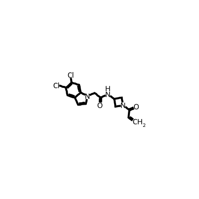 C=CC(=O)N1CC(NC(=O)Cn2ccc3cc(Cl)c(Cl)cc32)C1